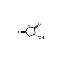 O=C1C[C@@H](O)C(=O)O1